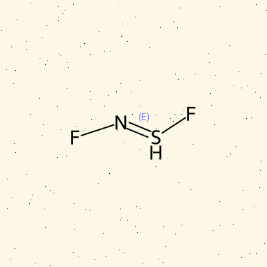 F/N=[SH]/F